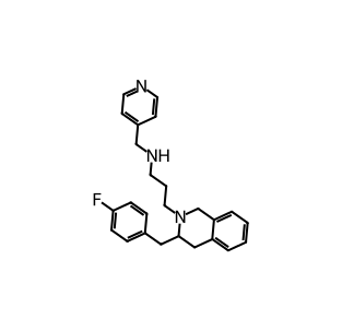 Fc1ccc(CC2Cc3ccccc3CN2CCCNCc2ccncc2)cc1